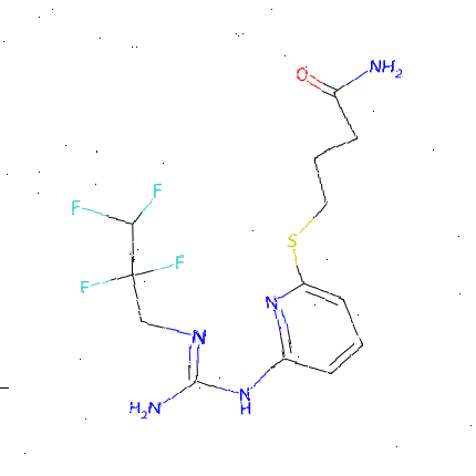 NC(=O)CCCSc1cccc(NC(N)=NCC(F)(F)C(F)F)n1